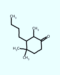 CCCCC1C(C)C(=O)CCC1(C)C